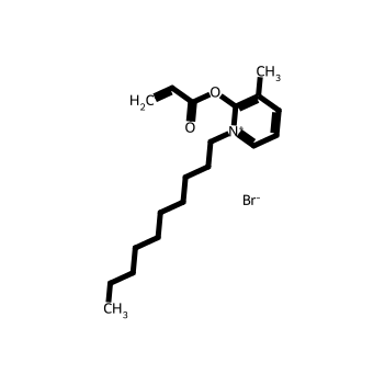 C=CC(=O)Oc1c(C)ccc[n+]1CCCCCCCCCC.[Br-]